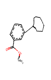 O=C(O[SiH3])c1cccc(C2CCCCC2)c1